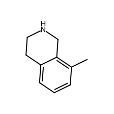 Cc1cccc2c1CNCC2